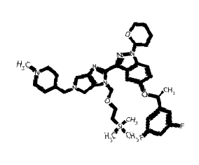 C[C@H](Oc1ccc2c(c1)c(-c1nc3c(n1COCC[Si](C)(C)C)CN(CC1CCN(C)CC1)C3)nn2C1CCCCO1)c1cc(F)cc(F)c1